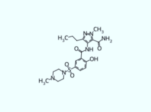 CCCc1nn(C)c(C(N)=O)c1NC(=O)c1cc(S(=O)(=O)N2CCN(C)CC2)ccc1O